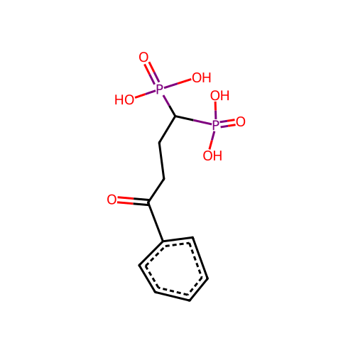 O=C(CCC(P(=O)(O)O)P(=O)(O)O)c1ccccc1